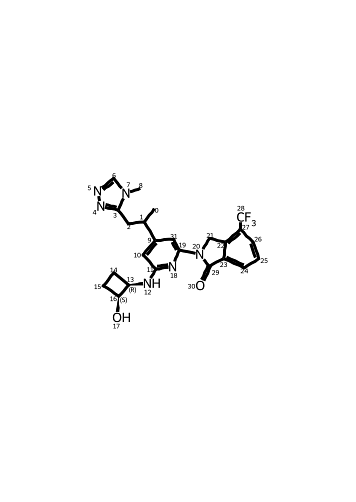 CC(Cc1nncn1C)c1cc(N[C@@H]2CC[C@@H]2O)nc(N2Cc3c(cccc3C(F)(F)F)C2=O)c1